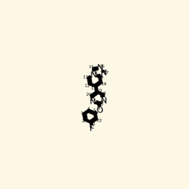 Fc1cccc(Oc2ncc(-c3ccn4cnnc4c3)cn2)c1